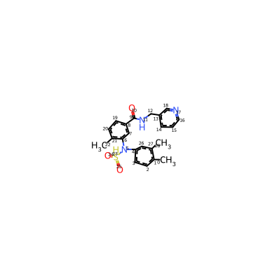 Cc1ccc(N(c2cc(C(=O)NCc3cccnc3)ccc2C)[SH](=O)=O)cc1C